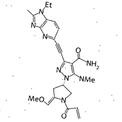 C=CC(=O)N1C[C@@H](n2nc(C#Cc3ccc4c(n3)nc(C)n4CC)c(C(N)=O)c2NC)C/C1=C\OC